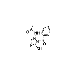 CC(=O)NN1C=NC(S)N1C(=O)c1ccccc1